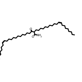 CCCCCCCC/C=C\CCCCCCCCCCCC(=O)C(CCCCCCCCCC/C=C\CCCCCCCC)C(N)=O